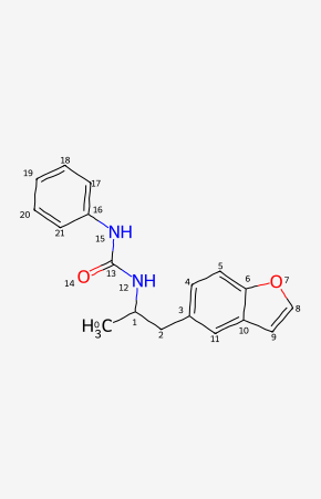 CC(Cc1ccc2occc2c1)NC(=O)Nc1ccccc1